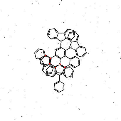 c1ccc(-c2cc(-c3ccccc3-c3c(-n4c5ccccc5c5ccccc54)c(-n4c5ccccc5c5ccccc54)nc(-n4c5ccccc5c5cnccc54)c3-n3c4ccccc4c4cnccc43)nc(-c3ccccc3)n2)cc1